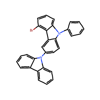 Brc1cccc2c1c1cc(-n3c4ccccc4c4ccccc43)ccc1n2-c1ccccc1